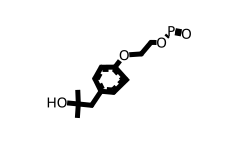 CC(C)(O)Cc1ccc(OCCOP=O)cc1